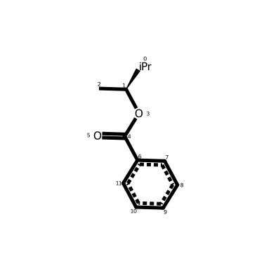 CC(C)[C@H](C)OC(=O)c1ccccc1